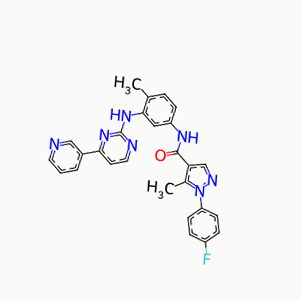 Cc1ccc(NC(=O)c2cnn(-c3ccc(F)cc3)c2C)cc1Nc1nccc(-c2cccnc2)n1